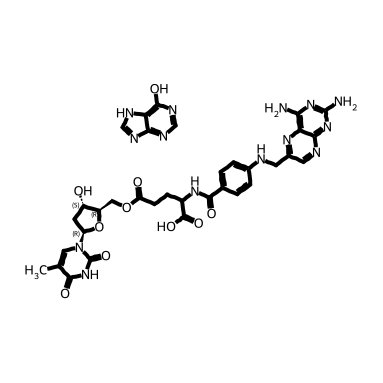 Cc1cn([C@H]2C[C@H](O)[C@@H](COC(=O)CCC(NC(=O)c3ccc(NCc4cnc5nc(N)nc(N)c5n4)cc3)C(=O)O)O2)c(=O)[nH]c1=O.Oc1ncnc2nc[nH]c12